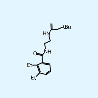 C=C(CC(C)(C)C)NCCNC(=O)c1cccc(CC)c1CC